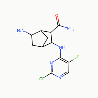 NC(=O)C1C2CC(CC2N)C1Nc1nc(Cl)ncc1F